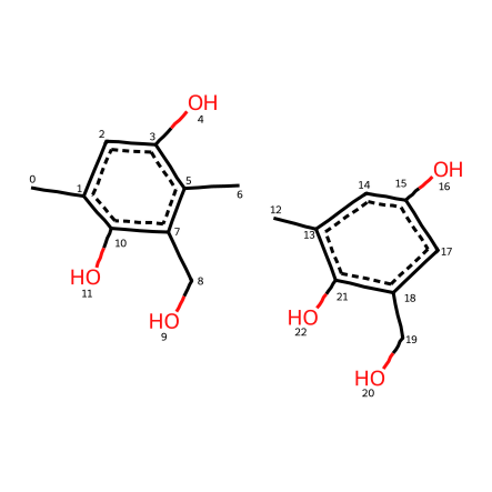 Cc1cc(O)c(C)c(CO)c1O.Cc1cc(O)cc(CO)c1O